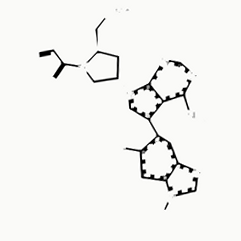 C=CC(=O)N1C[C@@H](n2cc(-c3cc4ncn(CC)c4cc3Cl)c3c(N)ncnc32)C[C@@H]1COC